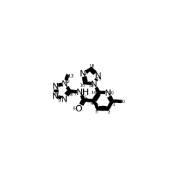 Cc1ccc(C(=O)Nc2nnnn2C)c(-n2cncn2)n1